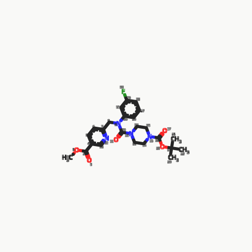 COC(=O)c1ccc(CN(C(=O)N2CCN(C(=O)OC(C)(C)C)CC2)c2cccc(F)c2)nc1